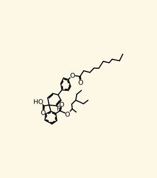 CCCCCCCCCC(=O)Oc1ccc(C2C=CC(C(=O)O)(c3ccccc3C(=O)OC(C)CC(CC)CC)C(F)=C2)cc1